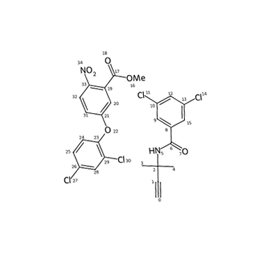 C#CC(C)(C)NC(=O)c1cc(Cl)cc(Cl)c1.COC(=O)c1cc(Oc2ccc(Cl)cc2Cl)ccc1[N+](=O)[O-]